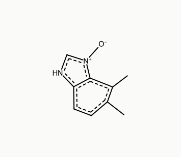 Cc1ccc2[nH]c[n+]([O-])c2c1C